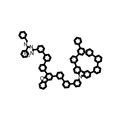 N/C(=N\C(=N/Cc1ccccc1)c1ccccc1)c1cccc(-c2cccc(-c3cccc(-c4cc(-c5cccc(-c6cccc(-c7cccc(-n8c9ccc(-c%10cccc(-c%11cccc(-c%12ccccc%12)c%11)c%10)cc9c9cc(-c%10cccc(-c%11cccc(-c%12ccccc%12)c%11)c%10)ccc98)c7)c6)c5)cc5c4oc4ccccc45)c3)c2)c1